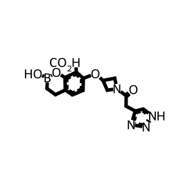 O=C(O)c1c(OC2CN(C(=O)Cc3c[nH]nn3)C2)ccc2c1OB(O)CC2